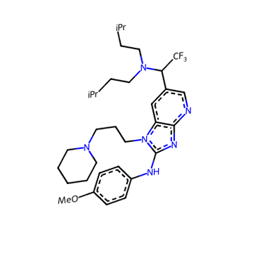 COc1ccc(Nc2nc3ncc(C(N(CCC(C)C)CCC(C)C)C(F)(F)F)cc3n2CCCN2CCCCC2)cc1